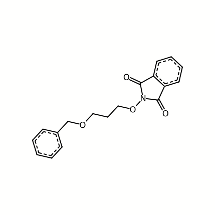 O=C1c2ccccc2C(=O)N1OCCCOCc1ccccc1